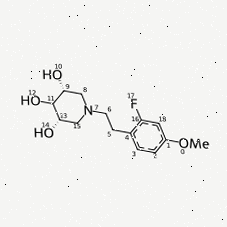 COc1ccc(CCN2C[C@@H](O)C(O)[C@@H](O)C2)c(F)c1